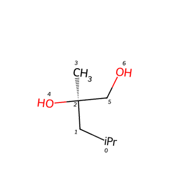 CC(C)C[C@@](C)(O)CO